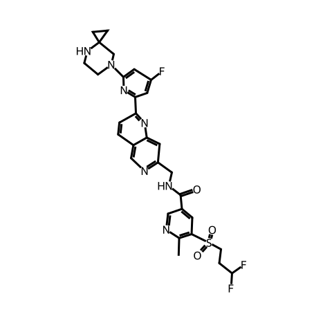 Cc1ncc(C(=O)NCc2cc3nc(-c4cc(F)cc(N5CCNC6(CC6)C5)n4)ccc3cn2)cc1S(=O)(=O)CCC(F)F